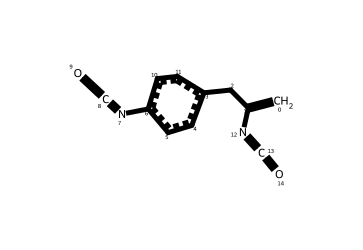 C=C(Cc1ccc(N=C=O)cc1)N=C=O